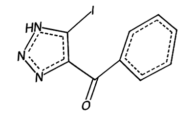 O=C(c1ccccc1)c1nn[nH]c1I